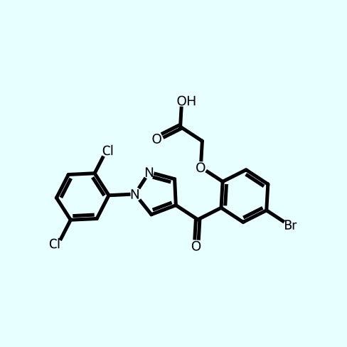 O=C(O)COc1ccc(Br)cc1C(=O)c1cnn(-c2cc(Cl)ccc2Cl)c1